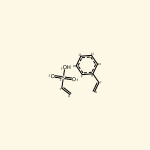 C=CS(=O)(=O)O.C=Cc1ccccc1